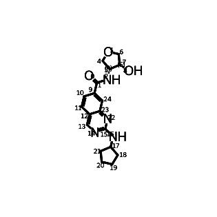 O=C(N[C@@H]1COC[C@H]1O)c1ccc2cnc(NC3CCCC3)nc2c1